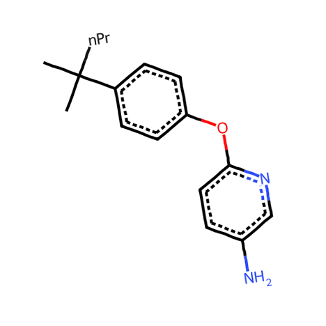 CCCC(C)(C)c1ccc(Oc2ccc(N)cn2)cc1